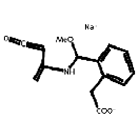 C=C(C=C=O)NC(OC)c1ccccc1CC(=O)[O-].[Na+]